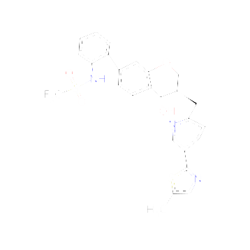 Cc1cnc(-c2ccc(C[C@@H]3COc4cc(-c5ccccc5NS(=O)(=O)C(F)(F)F)ccc4[C@H]3O)nc2)s1